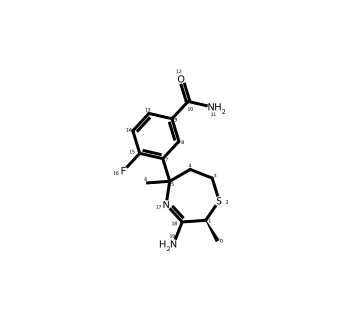 C[C@@H]1SCCC(C)(c2cc(C(N)=O)ccc2F)N=C1N